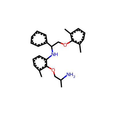 Cc1cccc(C)c1OCC(Nc1cccc(C)c1OCC(C)N)c1ccccc1